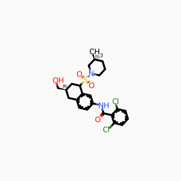 C[C@H]1CCCN(S(=O)(=O)C2C[C@H](CO)Cc3ccc(NC(=O)c4c(Cl)cccc4Cl)cc32)C1